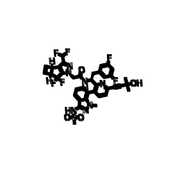 Cn1nc(NS(C)(=O)=O)c2cccc(-c3ccc(C#CC(C)(C)O)nc3[C@H](Cc3cc(F)cc(F)c3)NC(=O)Cn3nc(C(F)F)c4c3C(F)(F)[C@@H]3C=C[C@H]43)c21